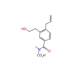 C=CCc1ccc(C(=O)N(C)C(=O)O)cc1CCO